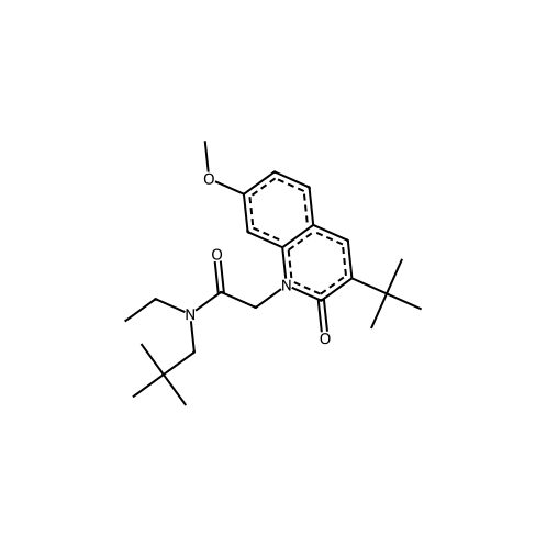 CCN(CC(C)(C)C)C(=O)Cn1c(=O)c(C(C)(C)C)cc2ccc(OC)cc21